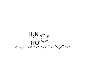 CCCCCCCCCCCCCCCC.Nc1ccccc1O